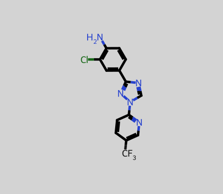 Nc1ccc(-c2ncn(-c3ccc(C(F)(F)F)cn3)n2)cc1Cl